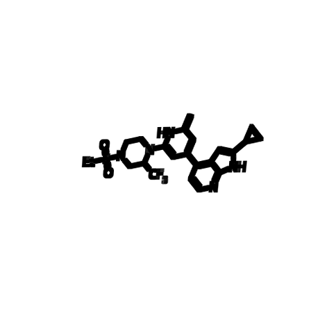 C=C1C=C(c2ccnc3[nH]c(C4CC4)cc23)C=C(N2CCN(S(=O)(=O)CC)CC2C(F)(F)F)N1